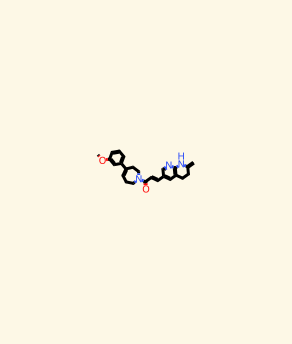 C=C1CCc2cc(/C=C/C(=O)N3CCC=C(c4cccc(OC)c4)CC3)cnc2N1